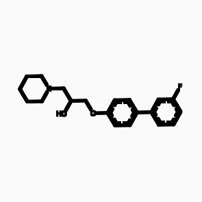 OC(COc1ccc(-c2cccc(F)c2)cc1)CN1CCCCC1